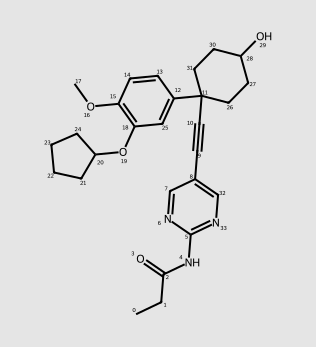 CCC(=O)Nc1ncc(C#CC2(c3ccc(OC)c(OC4CCCC4)c3)CCC(O)CC2)cn1